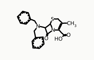 CC1=C(C(=O)O)N2C(=O)C(N(Cc3ccccc3)Cc3ccccc3)C2SC1